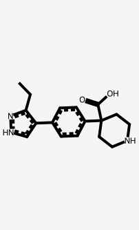 CCc1n[nH]cc1-c1ccc(C2(C(=O)O)CCNCC2)cc1